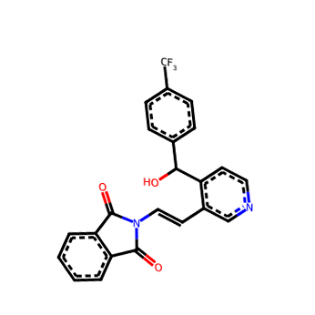 O=C1c2ccccc2C(=O)N1C=Cc1cnccc1C(O)c1ccc(C(F)(F)F)cc1